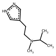 CC(C)N(C)CCc1cn[nH]c1